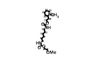 COCCOC(=O)NCCCCCCNC(=O)OCCC1CCCCN1C